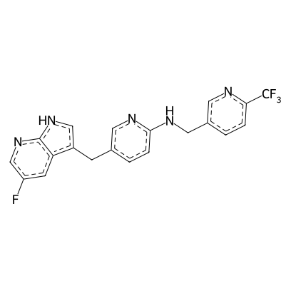 Fc1cnc2[nH]cc(Cc3ccc(NCc4ccc(C(F)(F)F)nc4)nc3)c2c1